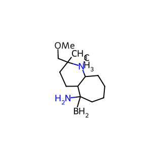 BC1(N)CCCCC2C1CCC(C)(COC)N2C